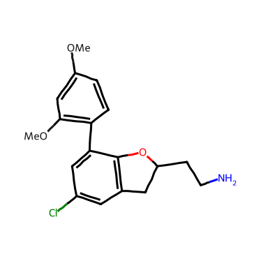 COc1ccc(-c2cc(Cl)cc3c2OC(CCN)C3)c(OC)c1